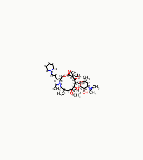 CCN1C[C@H](C)C[C@@](C)(OC)[C@H](O[C@@H]2O[C@H](C)C[C@H](N(C)C)[C@H]2O)[C@@H](C)C(=O)C(C)(C)C(=O)OC[C@H]1CCCN1CCCCC1